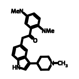 CNc1ccc(NC)c(C(=O)Cc2ccc3[nH]cc(C4CCN(C)CC4)c3c2)c1